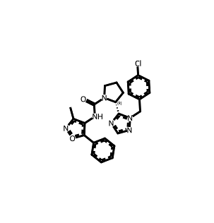 Cc1noc(-c2ccccc2)c1NC(=O)N1CCC[C@@H]1c1ncnn1Cc1ccc(Cl)cc1